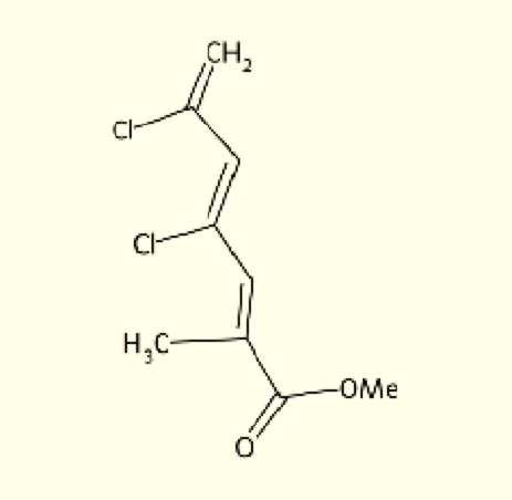 C=C(Cl)C=C(Cl)C=C(C)C(=O)OC